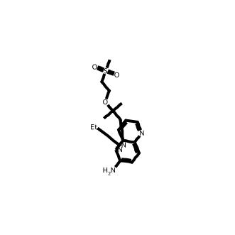 CCC1N=C2C(N)=CC=C3N=CC=CC32N1CC(C)(C)OCCS(C)(=O)=O